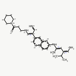 CC(C)C(=C/N)/C=C(\N)Nc1ccc2ncc(/C(C=N)=C/NCCC(=O)N3CCCCC3)cc2n1